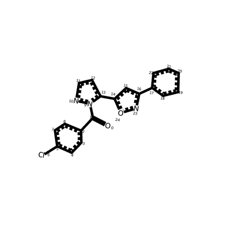 O=C(c1ccc(Cl)cc1)n1nccc1-c1cc(-c2ccccc2)no1